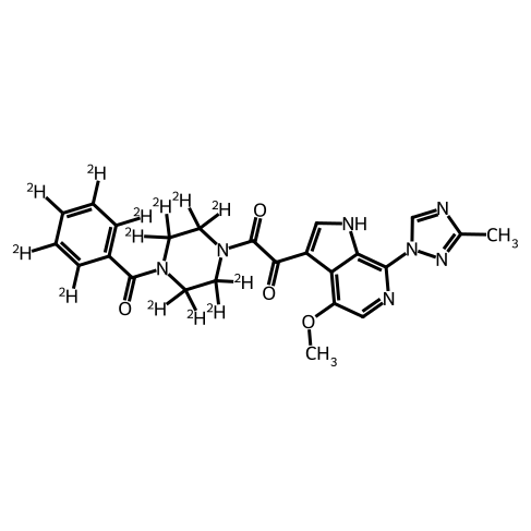 [2H]c1c([2H])c([2H])c(C(=O)N2C([2H])([2H])C([2H])([2H])N(C(=O)C(=O)c3c[nH]c4c(-n5cnc(C)n5)ncc(OC)c34)C([2H])([2H])C2([2H])[2H])c([2H])c1[2H]